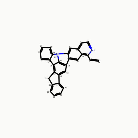 C=Cc1nccc2cc3c(cc12)c1cc2c(c4c5ccccc5n3c14)Cc1ccccc1-2